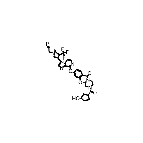 O=C(c1ccc(Oc2nccn3c(-c4cn(CC#P)nc4C(F)(F)F)cnc23)cc1O)N1CCN(C(=O)[C@H]2CC[C@@H](O)C2)CC1